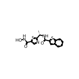 C[C@H](NC(=O)c1cc2ccccc2s1)c1ncc(C(=O)NO)s1